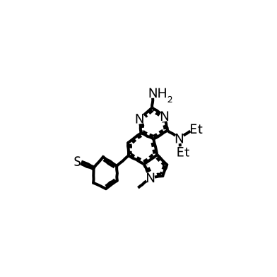 CCN(CC)c1nc(N)nc2cc(C3=CC(=S)CC=C3)c3c(ccn3C)c12